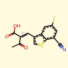 CC(=O)/C(=C\c1csc2c(C#N)cc(F)cc12)C(=O)O